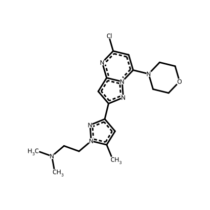 Cc1cc(-c2cc3nc(Cl)cc(N4CCOCC4)n3n2)nn1CCN(C)C